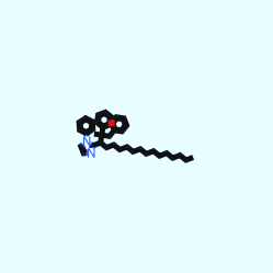 CCCCCCCCCCCCCCC(c1nccn1-c1ccccc1)C(C)(Cc1ccccc1)c1ccccc1